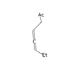 CCC=C=CCC(C)=O